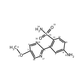 COc1cnc(-c2cc(N)ccc2S(N)(=O)=O)nc1